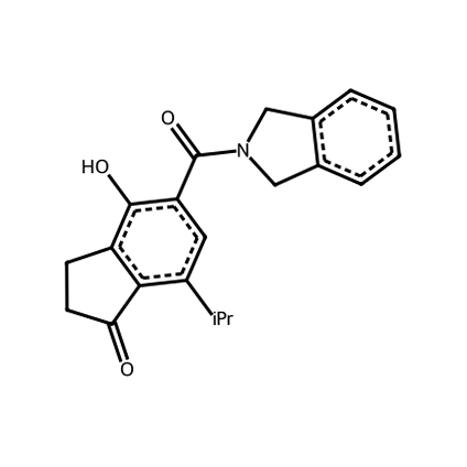 CC(C)c1cc(C(=O)N2Cc3ccccc3C2)c(O)c2c1C(=O)CC2